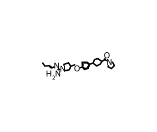 CC/C=C/N=C(\N)N1CCC(COc2ccc(C3CCC(C(=O)N4CCCC4)CC3)cc2)CC1